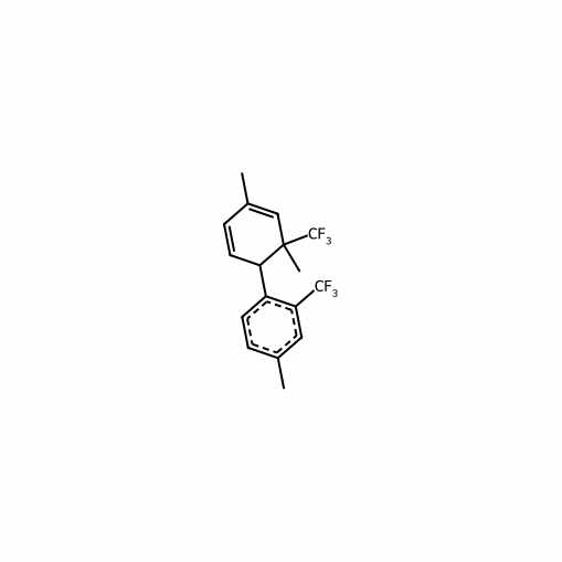 CC1=CC(C)(C(F)(F)F)C(c2ccc(C)cc2C(F)(F)F)C=C1